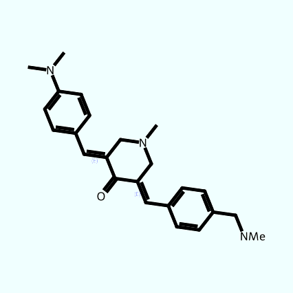 CNCc1ccc(/C=C2\CN(C)C/C(=C\c3ccc(N(C)C)cc3)C2=O)cc1